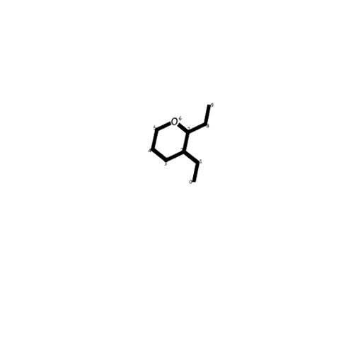 CCC1[C]CCOC1CC